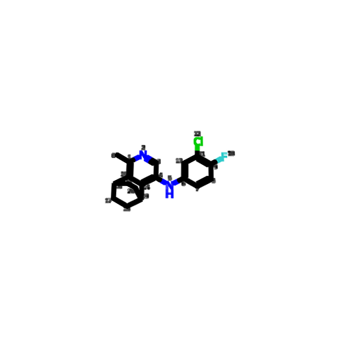 Cc1ncc(Nc2ccc(F)c(Cl)c2)c2c1C1CCC2CC1